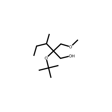 CCC(C)C(CO)(COC)OC(C)(C)C